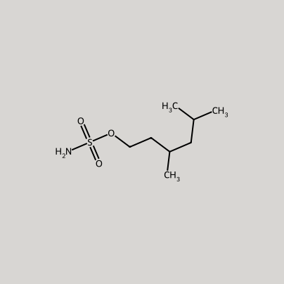 CC(C)CC(C)CCOS(N)(=O)=O